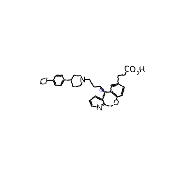 O=C(O)CCc1ccc2c(c1)/C(=C/CCN1CCC(c3ccc(Cl)cc3)CC1)c1cccnc1CO2